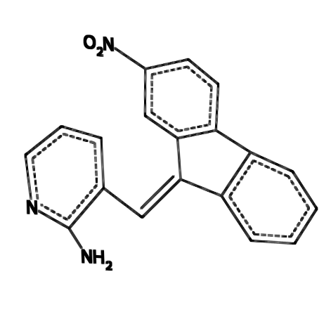 Nc1ncccc1C=C1c2ccccc2-c2ccc([N+](=O)[O-])cc21